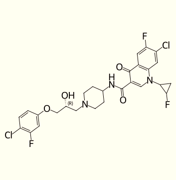 O=C(NC1CCN(C[C@@H](O)COc2ccc(Cl)c(F)c2)CC1)c1cn(C2CC2F)c2cc(Cl)c(F)cc2c1=O